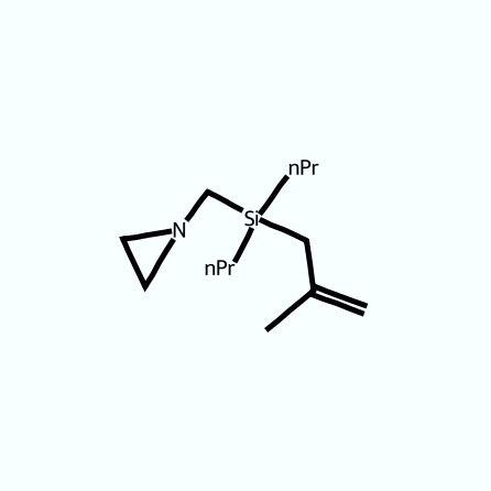 C=C(C)C[Si](CCC)(CCC)CN1CC1